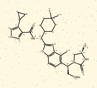 COC[C@@H](c1ccc2oc([C@H](NC(=O)c3nonc3C3CC3)C3CCC(F)(F)CC3)nc2c1F)N1C[C@@H](C(F)(F)F)NC1=O